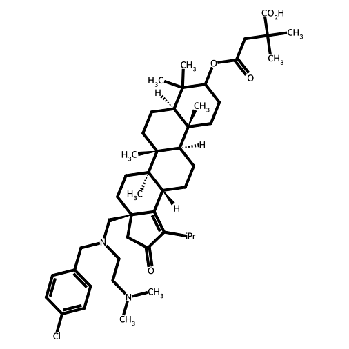 CC(C)C1=C2[C@H]3CC[C@@H]4[C@@]5(C)CCC(OC(=O)CC(C)(C)C(=O)O)C(C)(C)[C@@H]5CC[C@@]4(C)[C@]3(C)CC[C@@]2(CN(CCN(C)C)Cc2ccc(Cl)cc2)CC1=O